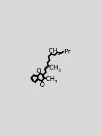 CC1=C(C/C=C(\C)CCCC(C)CCCC(C)C)C(=O)c2ccccc2C1=O